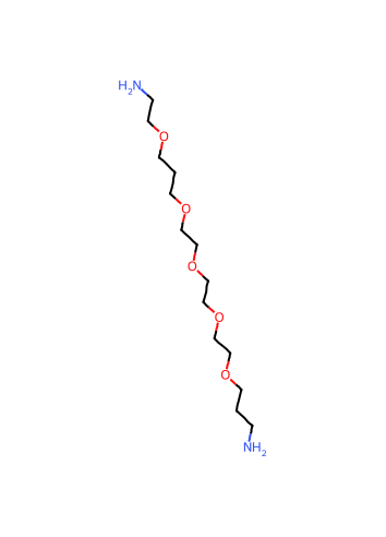 NCCCOCCOCCOCCOCCCOCCN